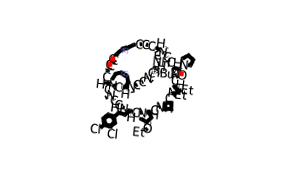 CCO[C@@H]1C[C@H]2CNC3(CCC3)CN(C)[C@@H](C(CC)CC)CN(C)[C@H](C(=O)N3CCCC3)CCN(C)[C@H]3CCCC/C=C/c4ccc(cc4)C[C@@H](CN(C)CCN[C@@H](CCc4ccc(Cl)c(Cl)c4)CN2C1)N1CC/C=C\C[C@@H](C1)N(C)CCN(C)C[C@H]([C@@H](C)CC)NC3